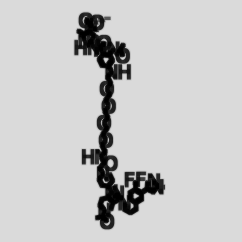 CC(=O)Nc1cc(NCCOCCOCCOCCOCCNC(=O)CN2CCC(n3nc(N4CCCc5cc(-c6cnn(C)c6)c(C(F)F)cc54)c4c3CCN(C(C)=O)C4)CC2)ccc1C(=O)Nc1nc(C)c([N+](=O)[O-])s1